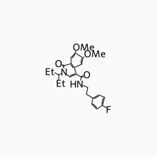 CCC(CC)n1cc(C(=O)NCCc2ccc(F)cc2)c2cc(OC)c(OC)cc2c1=O